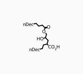 CCCCCCCCCCCCCC(=O)OCC(O)CC(CCCCCCCCCCCC)C(=O)O